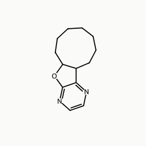 c1cnc2c(n1)OC1CCCCCCCC21